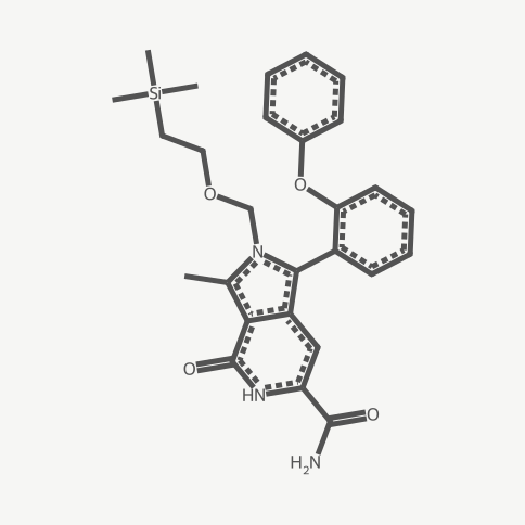 Cc1c2c(=O)[nH]c(C(N)=O)cc2c(-c2ccccc2Oc2ccccc2)n1COCC[Si](C)(C)C